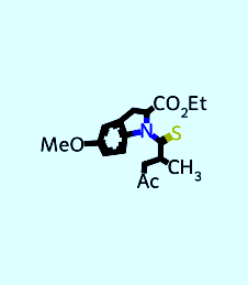 CCOC(=O)C1Cc2cc(OC)ccc2N1C(=S)C(C)CC(C)=O